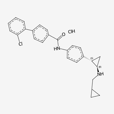 Cl.O=C(Nc1ccc([C@@H]2C[C@H]2NCC2CC2)cc1)c1ccc(-c2ccccc2Cl)cc1